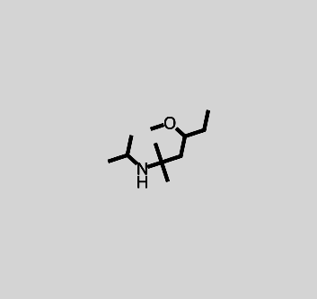 CCC(CC(C)(C)NC(C)C)OC